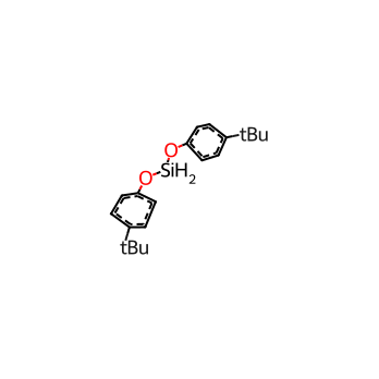 CC(C)(C)c1ccc(O[SiH2]Oc2ccc(C(C)(C)C)cc2)cc1